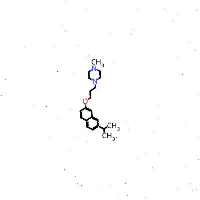 CC(C)c1ccc2ccc(OCCCN3CCN(C)CC3)cc2c1